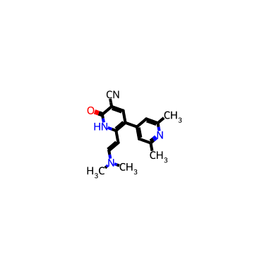 Cc1cc(-c2cc(C#N)c(=O)[nH]c2C=CN(C)C)cc(C)n1